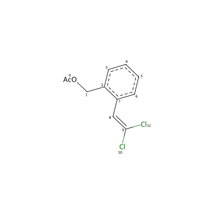 CC(=O)OCc1ccccc1C=C(Cl)Cl